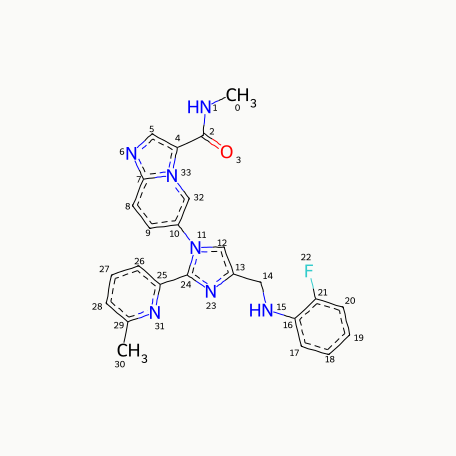 CNC(=O)c1cnc2ccc(-n3cc(CNc4ccccc4F)nc3-c3cccc(C)n3)cn12